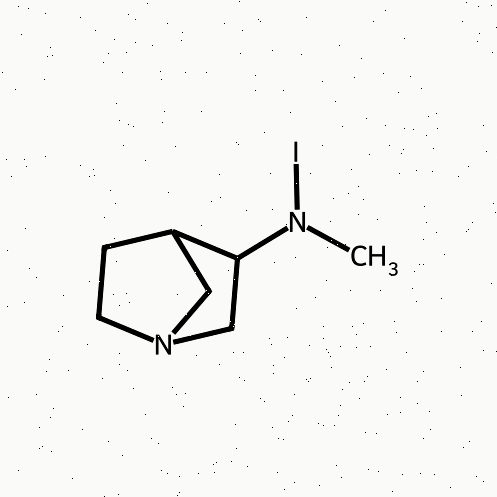 CN(I)C1CN2CCC1C2